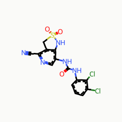 N#Cc1ncc(NC(=O)Nc2cccc(Cl)c2Cl)c2c1CS(=O)(=O)N2